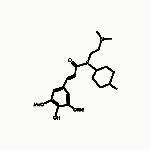 COc1cc(C=CC(=O)N(CCN(C)C)C2CCC(C)CC2)cc(OC)c1O